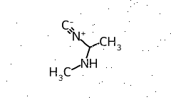 [C-]#[N+]C(C)NC